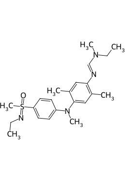 CCN=S(C)(=O)c1ccc(N(C)c2cc(C)c(N=CN(C)CC)cc2C)cc1